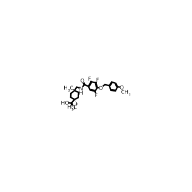 CC[C@]1(C(=O)O)CC[C@@](C)(CNC(=O)c2cc(F)c(OCc3ccc(OC)cc3)c(F)c2F)CC1